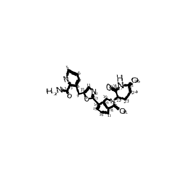 NC(=O)c1ncccc1Cc1cnc(-c2cccc3c2CN(C2CCC(=O)NC2=O)C3=O)o1